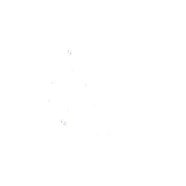 Cc1cc(-c2cc(N)ccc2N)co1